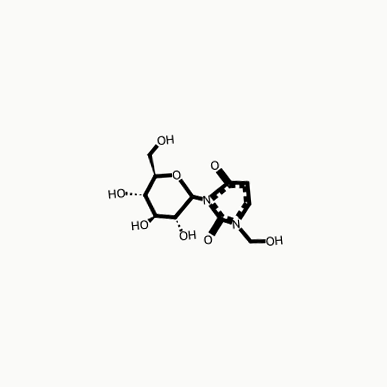 O=c1ccn(CO)c(=O)n1C1O[C@H](CO)[C@@H](O)[C@H](O)[C@H]1O